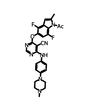 CC(=O)n1c(C)cc2c(F)c(Oc3ncnc(Nc4ccc(N5CCN(C)CC5)cc4)c3C#N)cc(F)c21